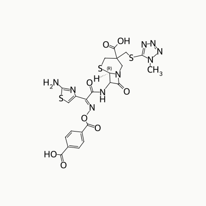 Cn1nnnc1SCC1(C(=O)O)CS[C@@H]2C(NC(=O)C(=NOC(=O)c3ccc(C(=O)O)cc3)c3csc(N)n3)C(=O)N2C1